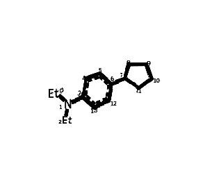 CCN(CC)c1ccc([C]2CCCC2)cc1